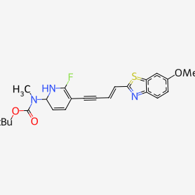 COc1ccc2nc(/C=C/C#CC3=C(F)NC(N(C)C(=O)OC(C)(C)C)C=C3)sc2c1